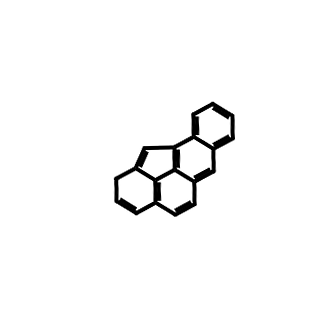 C1=Cc2ccc3cc4ccccc4c4c3c2C(=C4)C1